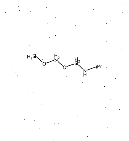 CC(C)N[SiH2]O[SiH2]O[SiH3]